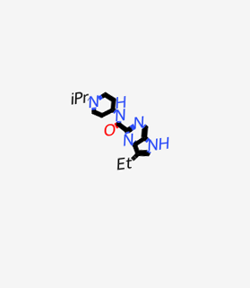 CCc1c[nH]c2cnc(C(=O)NC3CCN(C(C)C)CC3)nc12